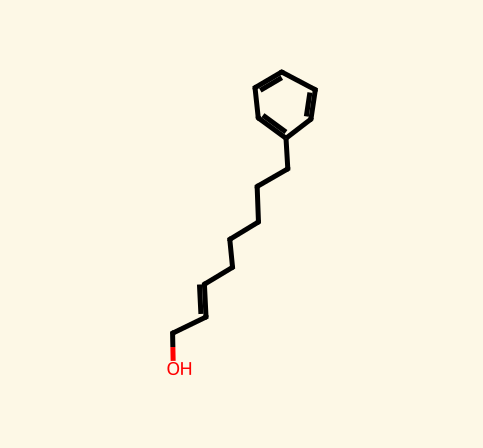 OCC=CCCCCCc1ccccc1